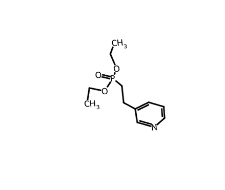 CCOP(=O)(CCc1cccnc1)OCC